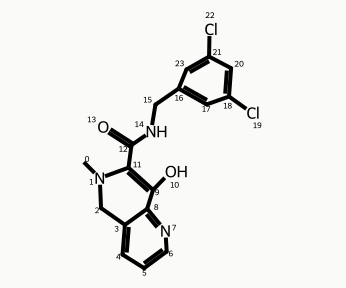 CN1Cc2cccnc2C(O)=C1C(=O)NCc1cc(Cl)cc(Cl)c1